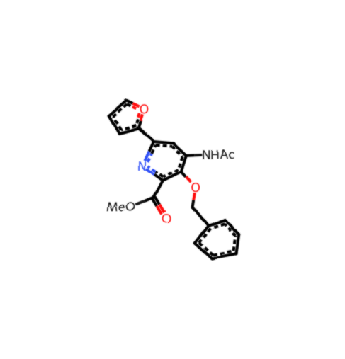 COC(=O)c1nc(-c2ccco2)cc(NC(C)=O)c1OCc1ccccc1